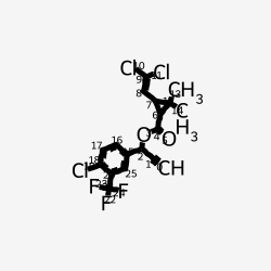 C#CC(OC(=O)C1C(C=C(Cl)Cl)C1(C)C)c1ccc(Cl)c(C(F)(F)F)c1